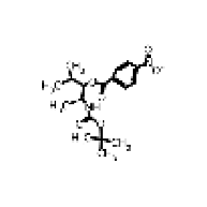 CC(C)C(OC(=O)c1ccc([N+](=O)[O-])cc1)[C@H](C)NC(=O)OC(C)(C)C